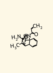 C=CC(=O)NC1(C(F)(F)F)C=CC=CC1C=C(C)C(N)=O